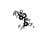 CC(=O)N(Cc1cc(C(F)(F)F)cc(C(F)(F)F)c1)C1CCCN(C(=O)OC(C)C)c2c(N)cccc21